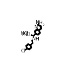 CC(NCCc1ccc(Cl)cc1)c1ccc2ccc(N)nc2c1.Cl.Cl